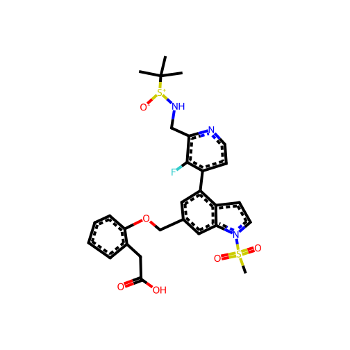 CC(C)(C)[S+]([O-])NCc1nccc(-c2cc(COc3ccccc3CC(=O)O)cc3c2ccn3S(C)(=O)=O)c1F